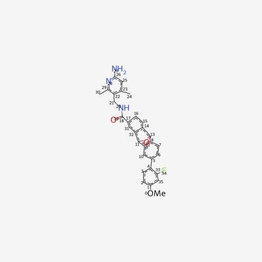 COc1ccc(-c2ccc3c(c2)c2oc3c3ccc(C(=O)NCc4c(C)cc(N)nc4C)cc32)c(F)c1